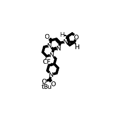 CC(C)(C)OC(=O)N1CCC(CN2c3nc(N4C[C@@H]5C[C@H]4CO5)cc(=O)n3CC[C@H]2C(F)(F)F)CC1